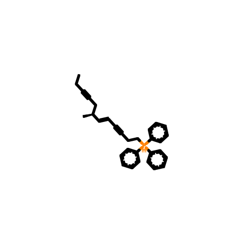 CCC#CC[C@H](C)/C=C/C#CCC[PH](c1ccccc1)(c1ccccc1)c1ccccc1